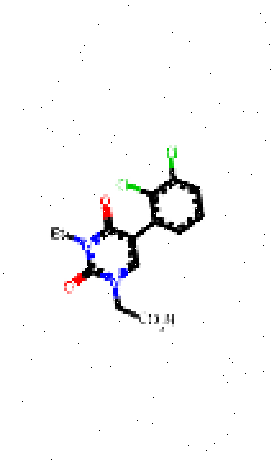 CCn1c(=O)c(-c2cccc(Cl)c2Cl)cn(CC(=O)O)c1=O